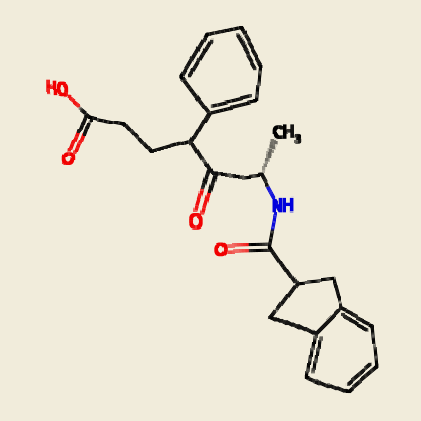 C[C@H](NC(=O)C1Cc2ccccc2C1)C(=O)C(CCC(=O)O)c1ccccc1